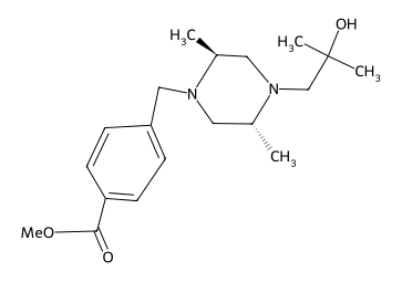 COC(=O)c1ccc(CN2C[C@@H](C)N(CC(C)(C)O)C[C@@H]2C)cc1